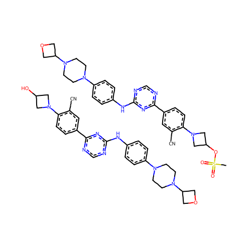 CS(=O)(=O)OC1CN(c2ccc(-c3ncnc(Nc4ccc(N5CCN(C6COC6)CC5)cc4)n3)cc2C#N)C1.N#Cc1cc(-c2ncnc(Nc3ccc(N4CCN(C5COC5)CC4)cc3)n2)ccc1N1CC(O)C1